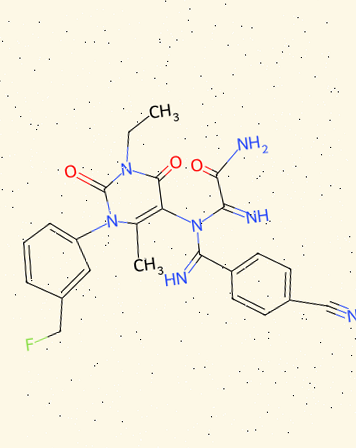 CCn1c(=O)c(N(C(=N)C(N)=O)C(=N)c2ccc(C#N)cc2)c(C)n(-c2cccc(CF)c2)c1=O